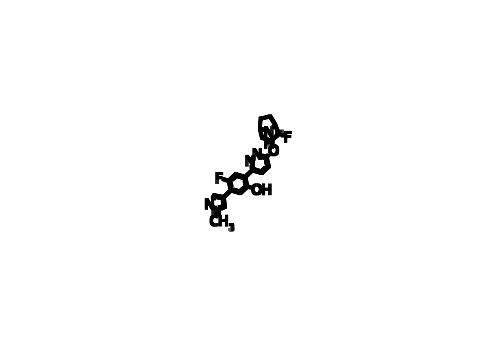 Cn1cc(-c2cc(O)c(-c3ccc(O[C@H]4CC5CCC(N5)[C@H]4F)nn3)cc2F)cn1